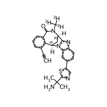 [2H]C([2H])([2H])N1C(=O)c2cccc(C#C)c2[C@H]2C[C@@H]1c1nc3ccc(-c4cnc(C(C)(C)N)s4)cc3n12